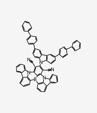 N#Cc1c(-n2c3ccc(-c4ccc(-c5ccccc5)cc4)cc3c3cc(-c4ccc(-c5ccccc5)cc4)ccc32)c(C#N)c2c3c1-n1c4ccccc4c4cccc(c41)B3c1cccc3c4ccccc4n-2c13